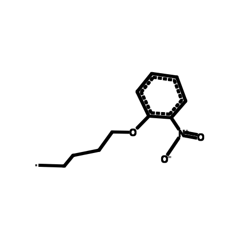 [CH2]CCCCOc1ccccc1[N+](=O)[O-]